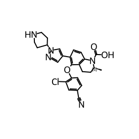 C[C@H]1CCc2c(ccc(-c3cnn(C4CCNCC4)c3)c2Oc2ccc(C#N)cc2Cl)N1C(=O)O